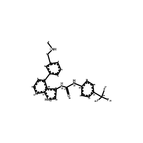 CNCc1cccc(-c2ccnc3[nH]cc(NC(=O)Nc4ccc(C(F)(F)F)cc4)c23)c1